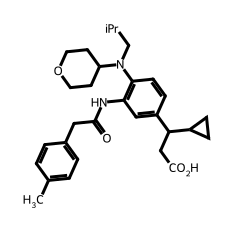 Cc1ccc(CC(=O)Nc2cc(C(CC(=O)O)C3CC3)ccc2N(CC(C)C)C2CCOCC2)cc1